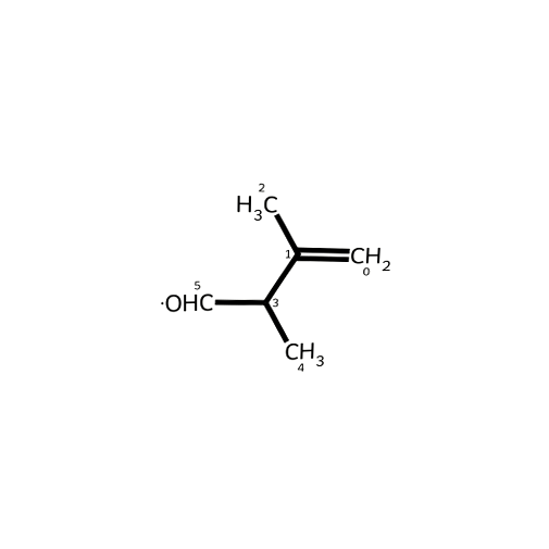 C=C(C)C(C)[C]=O